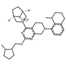 CC1CCCc2cccc(N3CCc4c(nc(OCC5CCCN5C)nc4N4C[C@H]5CC[C@@H](C4)N5C(=O)O)C3)c21